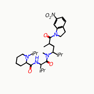 CC(CC(C(C)C)N(C)C(=O)C(NC(=O)C1CCCCN1C(C)C)C(C)C)C(=O)N1CCc2ccc([N+](=O)[O-])cc21